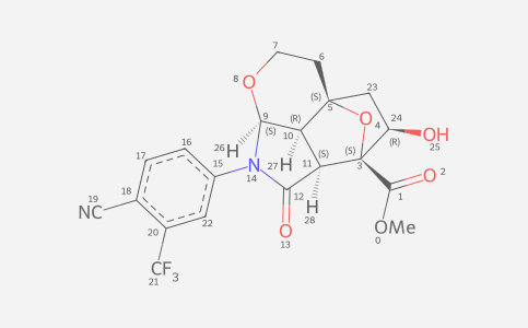 COC(=O)[C@]12O[C@@]3(CCO[C@H]4[C@@H]3[C@@H]1C(=O)N4c1ccc(C#N)c(C(F)(F)F)c1)C[C@H]2O